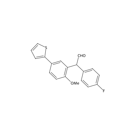 COc1ccc(-c2cccs2)cc1C(C=O)c1ccc(F)cc1